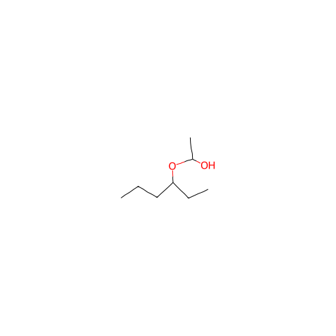 CCCC(CC)OC(C)O